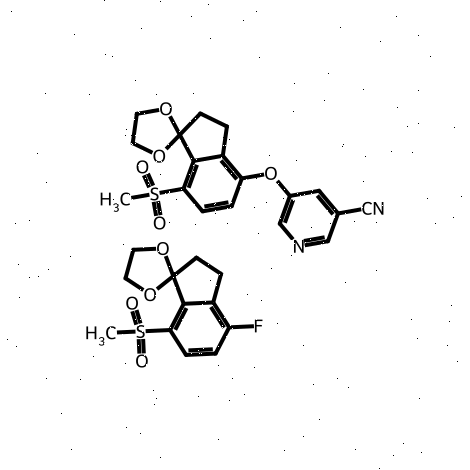 CS(=O)(=O)c1ccc(F)c2c1C1(CC2)OCCO1.CS(=O)(=O)c1ccc(Oc2cncc(C#N)c2)c2c1C1(CC2)OCCO1